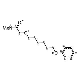 CNC(=O)COCCCCCCOc1ccccc1